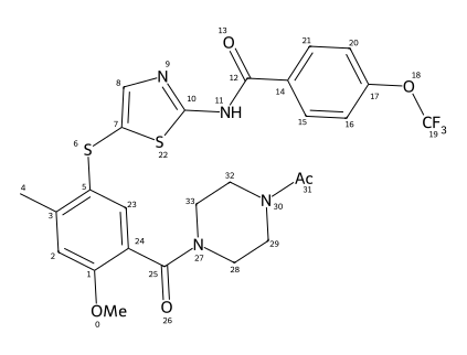 COc1cc(C)c(Sc2cnc(NC(=O)c3ccc(OC(F)(F)F)cc3)s2)cc1C(=O)N1CCN(C(C)=O)CC1